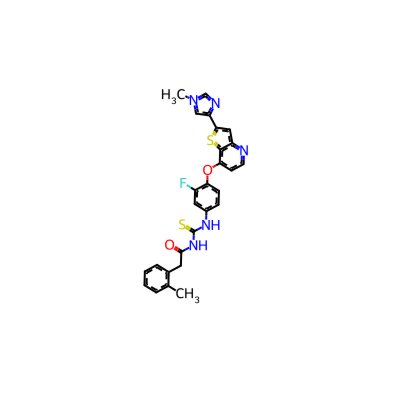 Cc1ccccc1CC(=O)NC(=S)Nc1ccc(Oc2ccnc3cc(-c4cn(C)cn4)sc23)c(F)c1